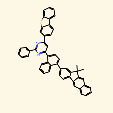 CC1(C)c2cc(-c3ccc(-c4cc(-c5ccc6c(c5)sc5ccccc56)nc(-c5ccccc5)n4)c4ccccc34)ccc2-c2cc3ccccc3cc21